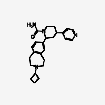 NC(=O)N1CCC(c2ccncc2)CC1c1ccc2c(c1)CCN(C1CCC1)CC2